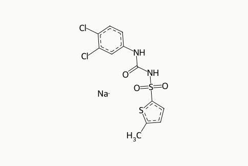 Cc1ccc(S(=O)(=O)NC(=O)Nc2ccc(Cl)c(Cl)c2)s1.[Na]